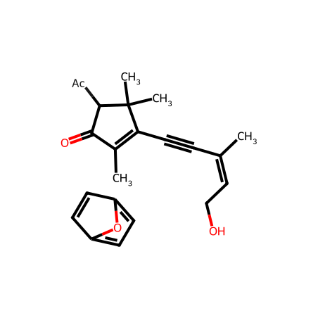 CC(=O)C1C(=O)C(C)=C(C#CC(C)=CCO)C1(C)C.c1cc2ccc1o2